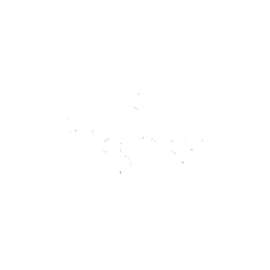 CC(C)C[C@H](NC(=O)c1cc2ccccc2s1)C(=O)NCC[C@H](CN1C(=O)c2ccccc2C1=O)NC(=O)OCc1ccccc1